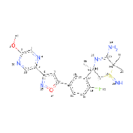 COc1cnc(-c2cc(-c3ccc(F)c([C@]4(C)CS(=N)C(C)(C)C(N)=N4)c3)on2)cn1